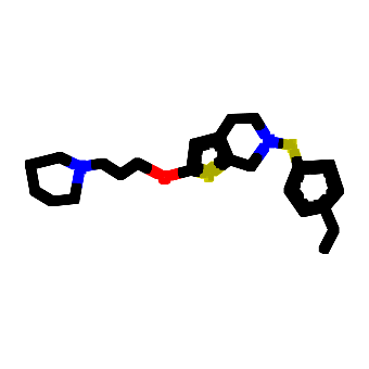 CCc1ccc(SN2CCc3cc(OCCCN4CCCCC4)sc3C2)cc1